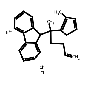 C=CCCC(C)(C1=C(C)C=CC1)C1c2ccccc2-c2ccccc21.[Cl-].[Cl-].[Ti+2]